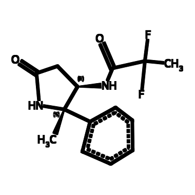 CC(F)(F)C(=O)N[C@@H]1CC(=O)N[C@@]1(C)c1ccccc1